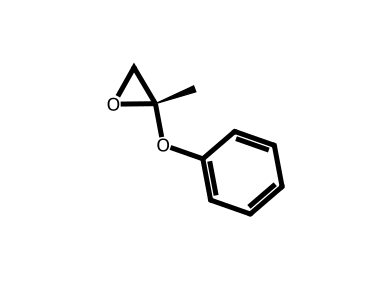 C[C@]1(Oc2ccccc2)CO1